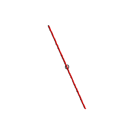 CCCCCCCCCCCCCCCCCCCCCCCCCCCCCCCCCCCCCCCCCCCCCCCCCCCCCCCCCCCCOCCCCCCCCCCCCCCCCCCCCCCCCCCCCCCCCCCCCCCCCCCCCCCCCCCCCCCCCCCCC